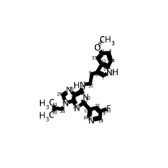 COc1ccc2[nH]cc(CCNc3nc(-c4cncc(F)c4)nc4c3ncn4CC(C)C)c2c1